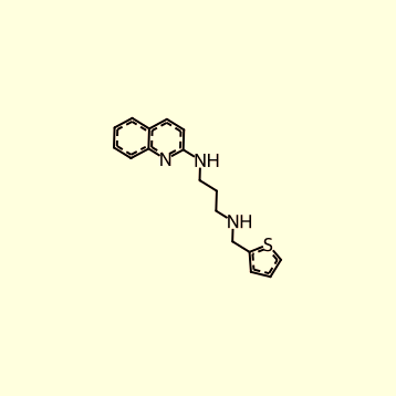 c1csc(CNCCCNc2ccc3ccccc3n2)c1